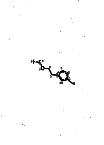 Cc1ccn(CCOSI)c1